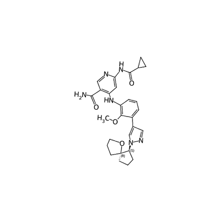 COc1c(Nc2cc(NC(=O)C3CC3)ncc2C(N)=O)cccc1-c1cnn([C@H]2CCC[C@@]23CCCO3)c1